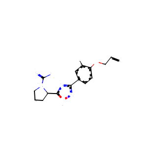 C=CCOc1ccc(-c2noc(C3CCCN3C(=N)N)n2)cc1C(F)(F)F.Cl